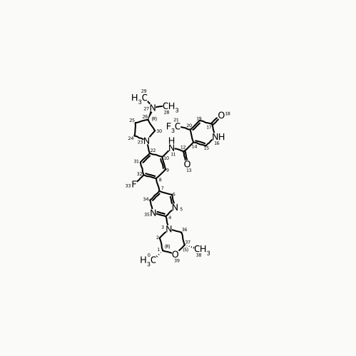 C[C@@H]1CN(c2ncc(-c3cc(NC(=O)c4c[nH]c(=O)cc4C(F)(F)F)c(N4CC[C@@H](N(C)C)C4)cc3F)cn2)C[C@H](C)O1